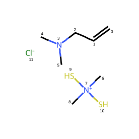 C=CCN(C)C.C[N+](C)(S)S.[Cl-]